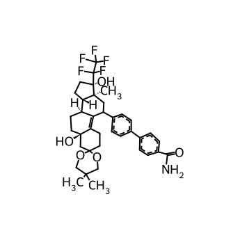 CC1(C)COC2(CCC3=C4C(c5ccc(-c6ccc(C(N)=O)cc6)cc5)C[C@@]5(C)[C@@H](CC[C@@]5(O)C(F)(F)C(F)(F)F)[C@@H]4CC[C@@]3(O)C2)OC1